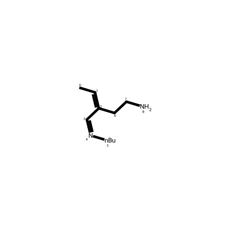 C/C=C(\C=N/CCCC)CCN